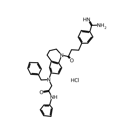 Cl.N=C(N)c1ccc(CCC(=O)N2CCCc3cc(N(CC(=O)Nc4ccccc4)Cc4ccccc4)ccc32)cc1